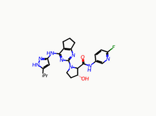 CC(C)c1cc(Nc2nc(N3CC[C@@H](O)C3C(=O)Nc3ccc(F)nc3)nc3c2CCC3)n[nH]1